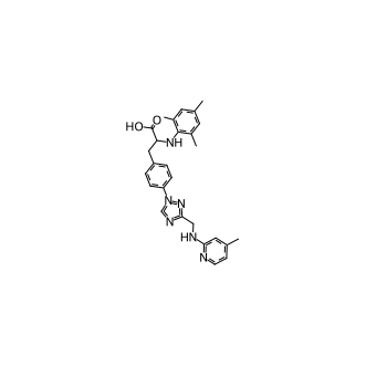 Cc1ccnc(NCc2ncn(-c3ccc(CC(Nc4c(C)cc(C)cc4C)C(=O)O)cc3)n2)c1